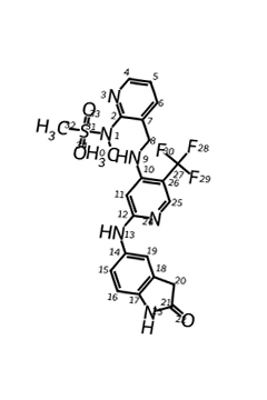 CN(c1ncccc1CNc1cc(Nc2ccc3c(c2)CC(=O)N3)ncc1C(F)(F)F)S(C)(=O)=O